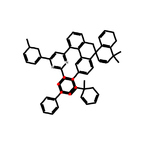 CC1C=CC=C(c2cc(-c3cccc4c3-c3cc(-c5ccc(-c6ccccc6)cc5C5(C)C=CC=CC5)ccc3C3(C4)C4=C(CCC=C4)C(C)(C)C4=C3C=CCC4)nc(-c3cc#ccc3)n2)C1